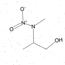 CC(CO)N(C)[N+](=O)[O-]